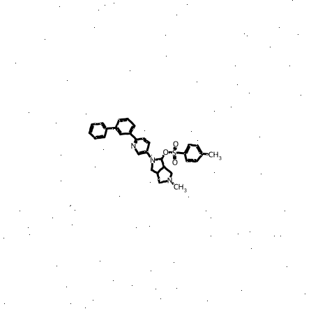 Cc1ccc(S(=O)(=O)OC2C3CN(C)CC3CN2c2ccc(-c3cccc(-c4ccccc4)c3)nc2)cc1